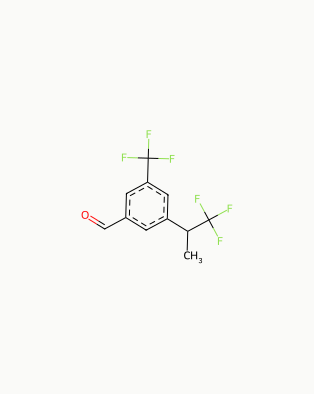 CC(c1cc(C=O)cc(C(F)(F)F)c1)C(F)(F)F